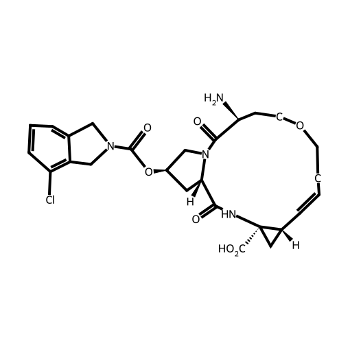 N[C@H]1CCOCC/C=C\[C@@H]2C[C@@]2(C(=O)O)NC(=O)[C@@H]2C[C@@H](OC(=O)N3Cc4cccc(Cl)c4C3)CN2C1=O